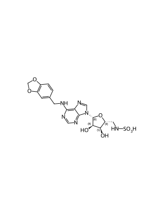 O=S(=O)(O)NC[C@H]1O[C@@H](n2cnc3c(NCc4ccc5c(c4)OCO5)ncnc32)[C@H](O)[C@@H]1O